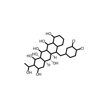 CC(O)C1C(O)C[C@@H]2[C@@H](O)[C@@H]3C(CC4CCC(Cl)C(Cl)C4)C4CCCC(O)C4C(O)C3C(O)[C@]2(O)C1O